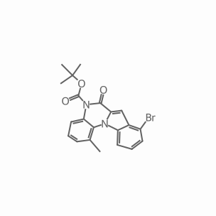 Cc1cccc2c1n1c(cc3c(Br)cccc31)c(=O)n2C(=O)OC(C)(C)C